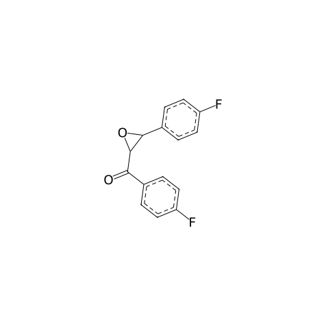 O=C(c1ccc(F)cc1)C1OC1c1ccc(F)cc1